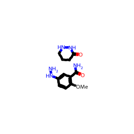 COc1ccc(NN)cc1C(N)=O.O=C1CCCNN1